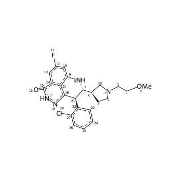 COCCN1CC[C@@H]([C@H]2Nc3cc(F)cc4c(=O)[nH]nc(c34)[C@@H]2c2ccccc2Cl)C1